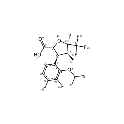 CC(C)Oc1c([C@H]2[C@H](C(=O)O)O[C@@](C)(C(F)(F)F)[C@H]2C)ccc(F)c1F